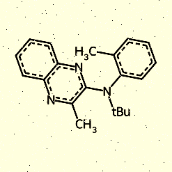 Cc1ccccc1N(c1nc2ccccc2nc1C)C(C)(C)C